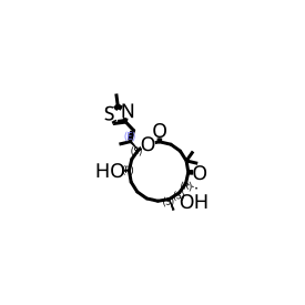 C/C(=C\c1csc(C)n1)[C@@H]1C[C@H](O)CCCC[C@H](C)[C@H](O)[C@@H](C)C(=O)C(C)(C)CCC(=O)O1